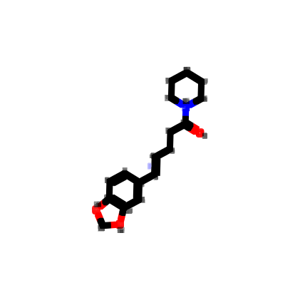 O=C(CC/C=C/c1ccc2c(c1)OCO2)N1CCCCC1